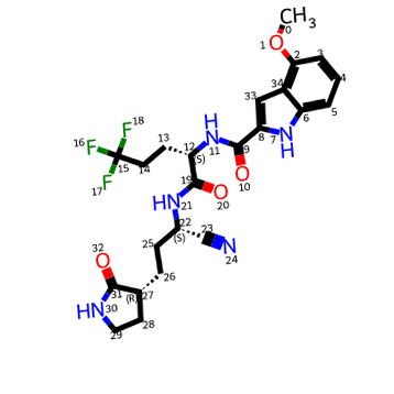 COc1cccc2[nH]c(C(=O)N[C@@H](CCC(F)(F)F)C(=O)N[C@H](C#N)CC[C@@H]3CCNC3=O)cc12